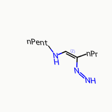 CCCCCN/C=C(/CCC)N=N